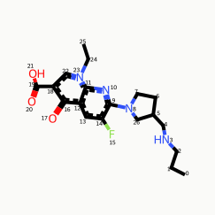 CCCNCC1CCN(c2nc3c(cc2F)c(=O)c(C(=O)O)cn3CC)C1